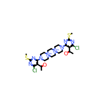 CSc1nc(Cl)c(C(C)=O)c(N2CC[N+]3(CC2)CC[N+]2(CCN(c4nc(SC)nc(Cl)c4C(C)=O)CC2)CC3)n1